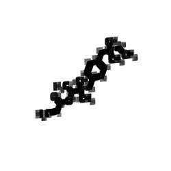 C=CC(=O)OC(C)[N+](C)(C)Cc1ccc(C[N+](C)(C)CC)cc1